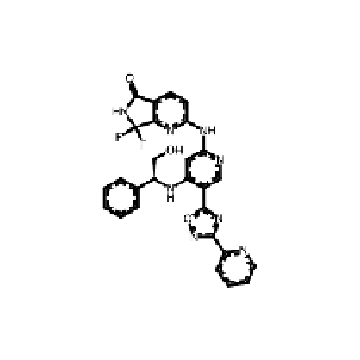 O=C1NC(F)(F)c2nc(Nc3cc(N[C@H](CO)c4ccccc4)c(-c4nc(-c5ccccn5)no4)cn3)ccc21